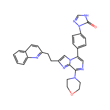 O=c1[nH]cnn1-c1ccc(-c2cnc(N3CCOCC3)c3nc(CCc4ccc5ccccc5n4)cn23)cc1